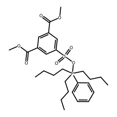 CCCCP(CCCC)(CCCC)(OS(=O)(=O)c1cc(C(=O)OC)cc(C(=O)OC)c1)c1ccccc1